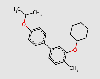 Cc1ccc(-c2ccc(OC(C)C)cc2)cc1OC1CCCCC1